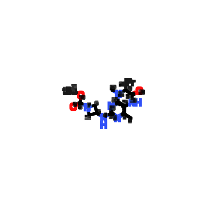 Cc1nc(NC2CN(C(=O)OC(C)(C)C)C2)nc2c1NC(=O)[C@H](C(C)C)N2C